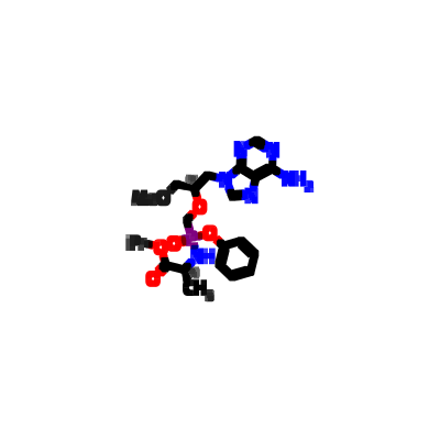 COC[C@@H](Cn1cnc2c(N)ncnc21)OCP(=O)(N[C@@H](C)C(=O)OC(C)C)Oc1ccccc1